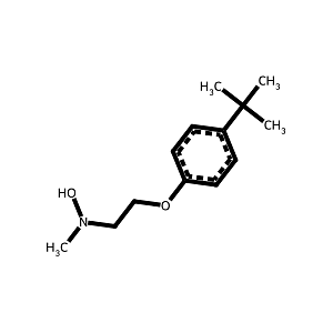 CN(O)CCOc1ccc(C(C)(C)C)cc1